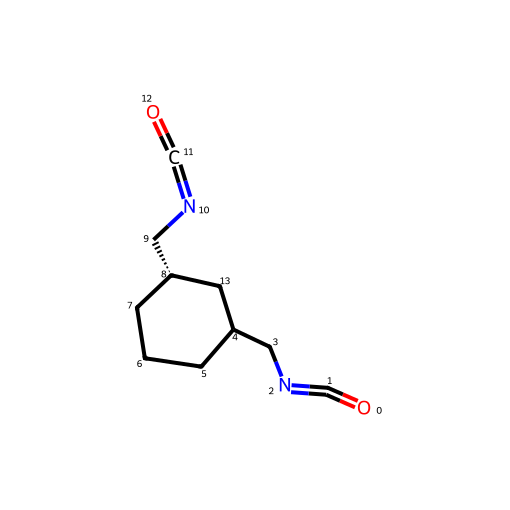 O=C=NCC1CCC[C@H](CN=C=O)C1